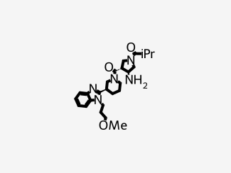 COCCCn1c([C@@H]2CCCN(C(=O)[C@@H]3CN(C(=O)C(C)C)C[C@H]3N)C2)nc2ccccc21